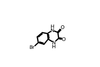 O=c1[nH]c2ccc(Br)cc2[nH]c1=O